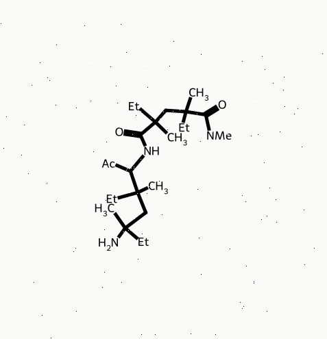 CCC(C)(N)CC(C)(CC)C(NC(=O)C(C)(CC)CC(C)(CC)C(=O)NC)C(C)=O